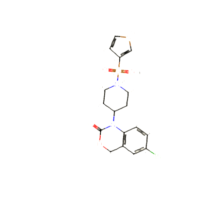 O=C1OCc2cc(Br)ccc2N1C1CCN(S(=O)(=O)c2ccsc2)CC1